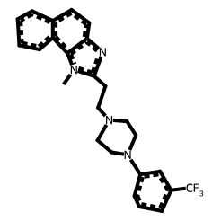 Cn1c(CCN2CCN(c3cccc(C(F)(F)F)c3)CC2)nc2ccc3ccccc3c21